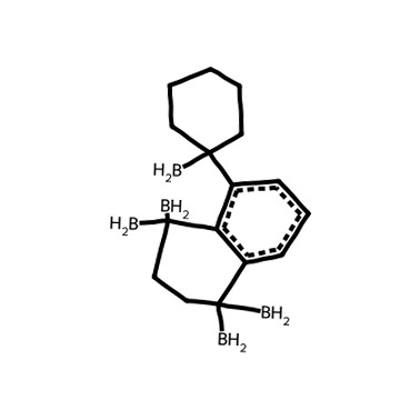 BC1(B)CCC(B)(B)c2c1cccc2C1(B)CCCCC1